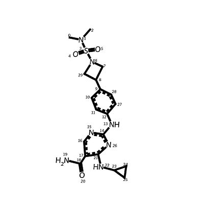 CN(C)S(=O)(=O)N1CC(c2ccc(Nc3ncc(C(N)=O)c(NC4CC4)n3)cc2)C1